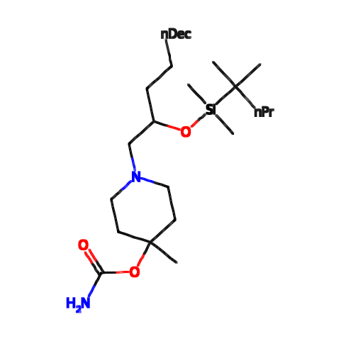 CCCCCCCCCCCCC(CN1CCC(C)(OC(N)=O)CC1)O[Si](C)(C)C(C)(C)CCC